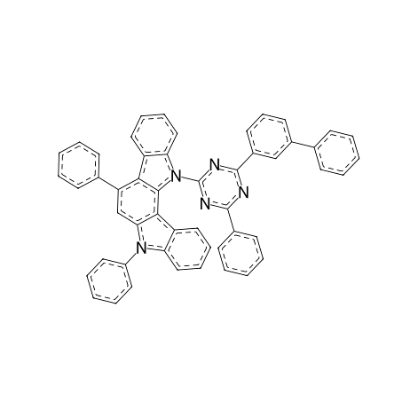 c1ccc(-c2cccc(-c3nc(-c4ccccc4)nc(-n4c5ccccc5c5c(-c6ccccc6)cc6c(c7ccccc7n6-c6ccccc6)c54)n3)c2)cc1